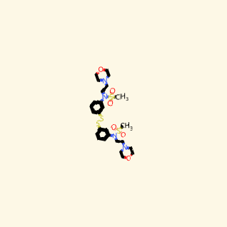 CS(=O)(=O)N(CCN1CCOCC1)c1cccc(SSc2cccc(N(CCN3CCOCC3)S(C)(=O)=O)c2)c1